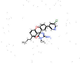 CCCc1ccc2c(c1)C1(N=C(N)N(C)C1=O)c1cc(-c3cncc(Cl)c3)ccc1O2